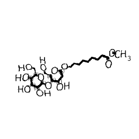 COC(=O)CCCCCCCCO[C@@H]1C[C@@H](O)[C@H](O[C@@H]2O[C@H](CO)[C@H](O)[C@H](O)[C@H]2O)[C@@H](CO)O1